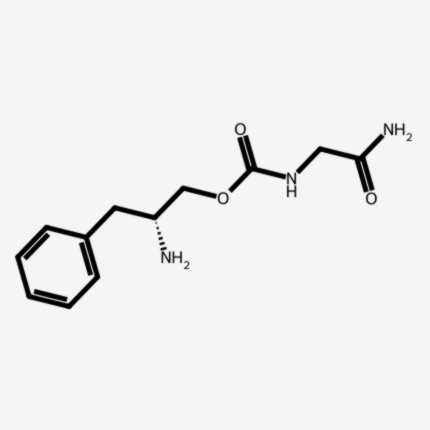 NC(=O)CNC(=O)OC[C@H](N)Cc1ccccc1